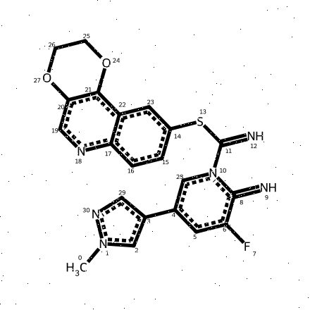 Cn1cc(-c2cc(F)c(=N)n(C(=N)Sc3ccc4ncc5c(c4c3)OCCO5)c2)cn1